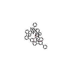 c1ccc(-c2ccc(-c3nc(-c4ccccc4)nc(-c4cccc5c4oc4c(-c6cccc(-c7cc8c(cc7-n7c9ccccc9c9cc(-c%10ccccc%10)ccc97)oc7ccccc78)c6)cccc45)n3)cc2)cc1